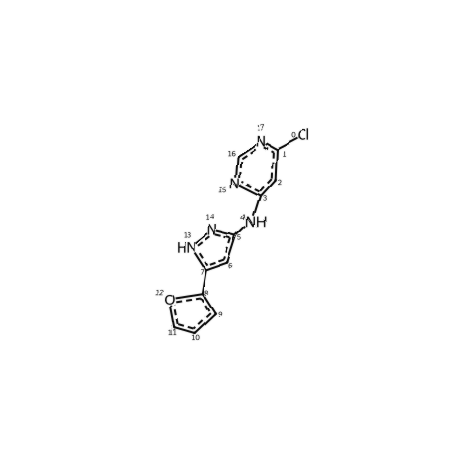 Clc1cc(Nc2cc(-c3ccco3)[nH]n2)ncn1